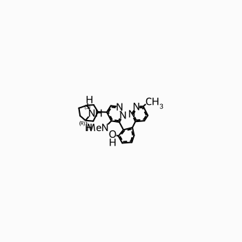 CNc1c(C2C[C@H]3CC[C@@H](C2)N3)cnnc1-c1c(O)cccc1-c1ccc(C)nn1